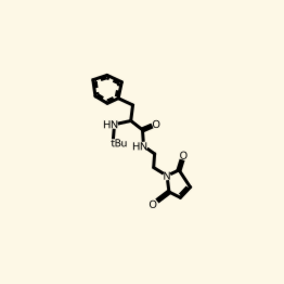 CC(C)(C)NC(Cc1ccccc1)C(=O)NCCN1C(=O)C=CC1=O